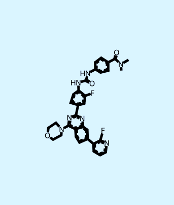 CN(C)C(=O)c1ccc(NC(=O)Nc2ccc(-c3nc(N4CCOCC4)c4ccc(-c5cccnc5F)cc4n3)cc2F)cc1